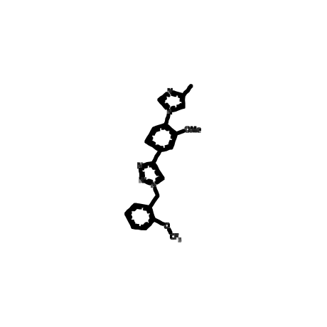 COc1cc(-c2cn(Cc3ccccc3OC(F)(F)F)nn2)ccc1-n1cnc(C)c1